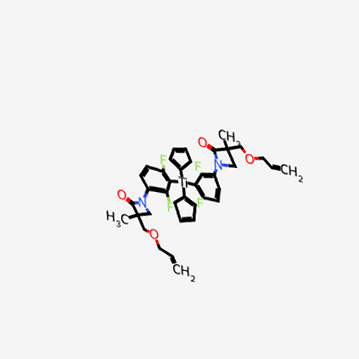 C=CCOCC1(C)CN(c2ccc(F)[c]([Ti]([C]3=CC=CC3)([C]3=CC=CC3)[c]3c(F)ccc(N4CC(C)(COCC=C)C4=O)c3F)c2F)C1=O